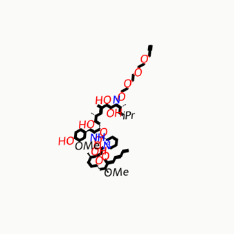 C#CCOCCOCCOCCO/N=C(\[C@H](C)CC(C)C)[C@H](O)[C@H](O)/C(C)=C/[C@@H](C)[C@H](O)C[C@H](OC(=O)[C@@H]1CCCCN1C(=O)C(=O)[C@]1(O)O[C@H](C[C@H](OC)/C(C)=C/C=C/C=C)CC[C@H]1C)[C@H](N)C[C@@H]1CC[C@@H](O)[C@H](OC)C1